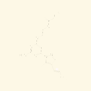 CCOC(=O)/C=C/c1cnn(-c2cc(NCCNC(=O)OC(C)(C)C)nc(N)n2)c1C